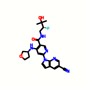 CC(C)(O)[C@H](F)CNC(=O)c1cnc(-n2ccc3cc(C#N)cnc32)cc1N[C@H]1CCOC1